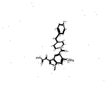 CNC(=O)C(=O)c1cn(C)c2cc(OC)c(C(=O)N3CCC(Cc4ccc(F)cc4)CC3)cc12